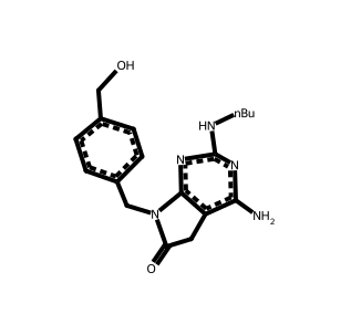 CCCCNc1nc(N)c2c(n1)N(Cc1ccc(CO)cc1)C(=O)C2